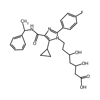 CC(NC(=O)c1nc(-c2ccc(F)cc2)n(CCC(O)CC(O)CC(=O)O)c1C1CC1)c1ccccc1